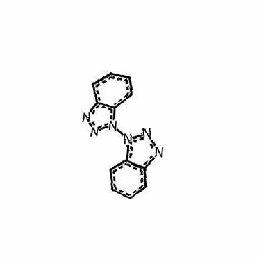 c1ccc2c(c1)nnn2-n1nnc2ccccc21